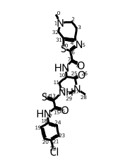 CN1CCc2nc(C(=O)NC(CNC(=S)C(=O)Nc3ccc(Cl)cc3)C(=O)N(C)C)sc2C1